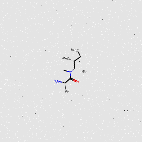 CC[C@H](C)[C@@H]([C@@H](CC(=O)O)OC)N(C)C(=O)[C@@H](N)C(C)C